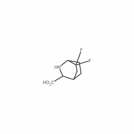 O=C(O)C1NC2CCC1CC2(F)F